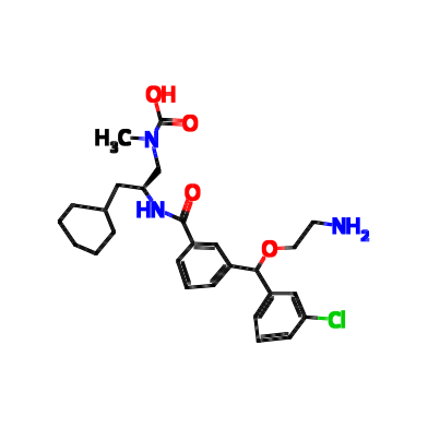 CN(C[C@H](CC1CCCCC1)NC(=O)c1cccc(C(OCCN)c2cccc(Cl)c2)c1)C(=O)O